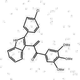 C=C(C(=O)c1cc(OC)c(OC)c(OC)c1)c1c(-c2ccc(Cl)cc2)[nH]c2ccccc12